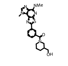 CNc1nc2sc(-c3cccc(C(=O)N4CCCC(CO)C4)c3)nc2c2c1ncn2C